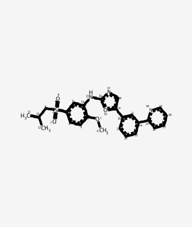 COc1ccc(S(=O)(=O)CC(C)C)cc1Nc1ncc(-c2cccc(-c3ccccn3)c2)o1